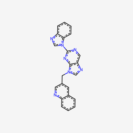 c1ccc2ncc(Cn3cnc4cnc(-n5cnc6ccccc65)nc43)cc2c1